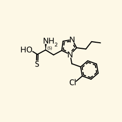 CCCc1ncc(C[C@H](N)C(O)=S)n1Cc1ccccc1Cl